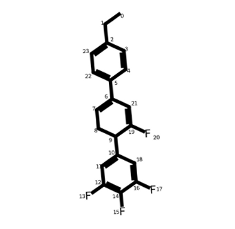 CCc1ccc(C2=CCC(c3cc(F)c(F)c(F)c3)C(F)=C2)cc1